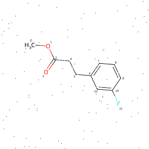 COC(=O)CCc1cccc(F)c1